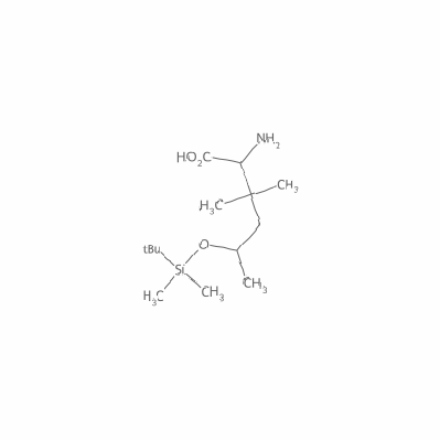 CC(CC(C)(C)C(N)C(=O)O)O[Si](C)(C)C(C)(C)C